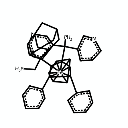 PCC1([C]23[C]4(c5ccccc5)[C]5(c6ccccc6)[CH]6[C]2(C(P)(c2cccnc2)c2cccnc2)[Fe]65432789[CH]3[CH]2[CH]7[CH]8[CH]39)C2CC3CC(C2)CC1C3